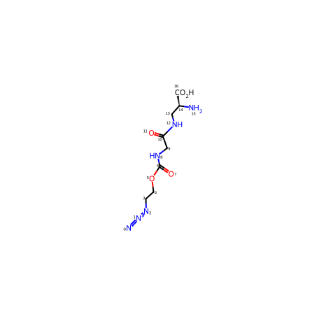 [N-]=[N+]=NCCOC(=O)NCC(=O)NC[C@H](N)C(=O)O